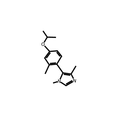 Cc1cc(OC(C)C)ccc1-c1c(C)ncn1C